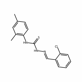 Cc1ccc(NC(=S)NN=Cc2ccccc2Cl)c(C)c1